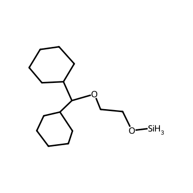 [SiH3]OCCOC(C1CCCCC1)C1CCCCC1